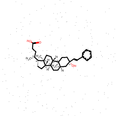 C[C@H](CCC(=O)O)[C@H]1CC[C@H]2[C@@H]3CC[C@@H]4C[C@](O)(C=Cc5ccccc5)CC[C@]4(C)[C@H]3CC[C@]12C